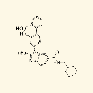 CCCCc1nc2ccc(C(=O)NCC3CCCCC3)cc2n1-c1ccc(-c2ccccc2C(=O)O)c(C)c1